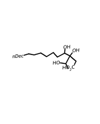 CCCCCCCCCCCCCCCCC(O)C(O)(CC(=O)O)C(C)O